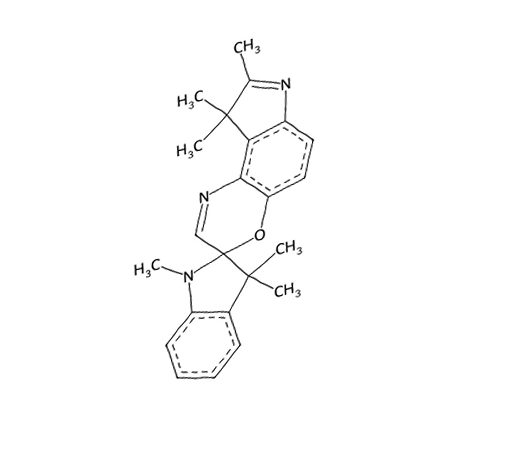 CC1=Nc2ccc3c(c2C1(C)C)N=CC1(O3)N(C)c2ccccc2C1(C)C